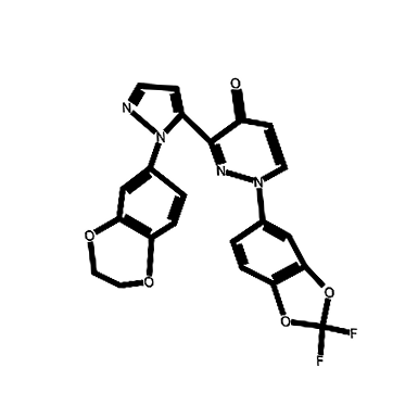 O=c1ccn(-c2ccc3c(c2)OC(F)(F)O3)nc1-c1ccnn1-c1ccc2c(c1)OCCO2